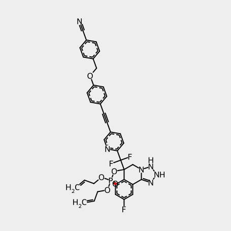 C=CCOP(=O)(OCC=C)OC1(C(F)(F)c2ccc(C#Cc3ccc(OCc4ccc(C#N)cc4)cc3)cn2)CN2NNN=C2c2cc(F)ccc21